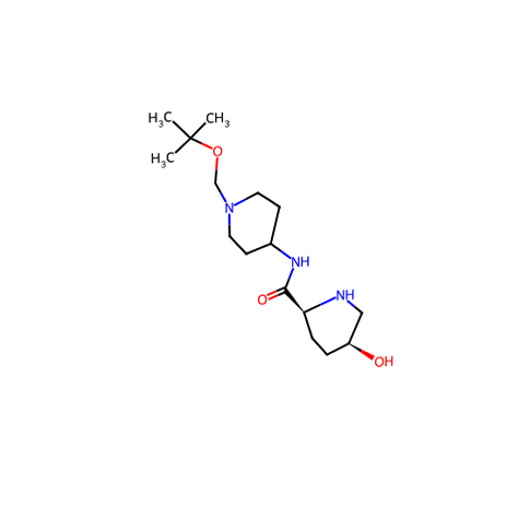 CC(C)(C)OCN1CCC(NC(=O)[C@@H]2CC[C@H](O)CN2)CC1